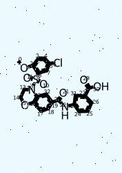 COc1ccc(Cl)cc1S(=O)(=O)N1CCOc2ccc(C(=O)Nc3cccc(C(=O)O)c3)cc21